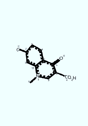 Cn1cc(C(=O)O)c(=O)c2ccc(Cl)cc21